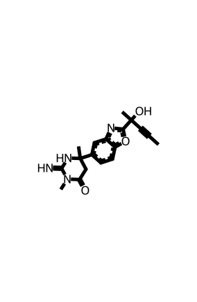 CC#CC(C)(O)c1nc2cc(C3(C)CC(=O)N(C)C(=N)N3)ccc2o1